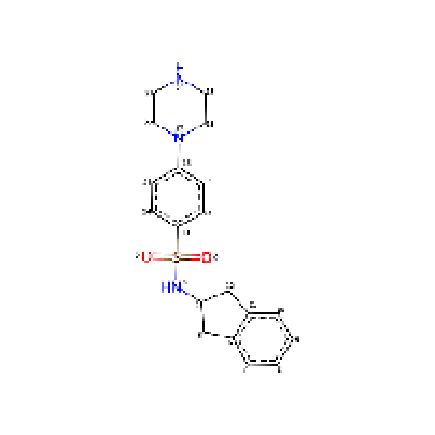 O=S(=O)(NC1Cc2ccccc2C1)c1ccc(N2CCNCC2)cc1